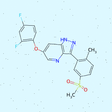 Cc1ccc(S(C)(=O)=O)cc1-c1n[nH]c2cc(Oc3ccc(F)cc3F)cnc12